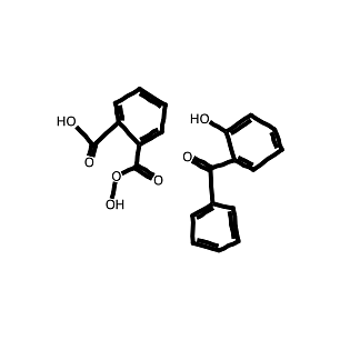 O=C(O)c1ccccc1C(=O)OO.O=C(c1ccccc1)c1ccccc1O